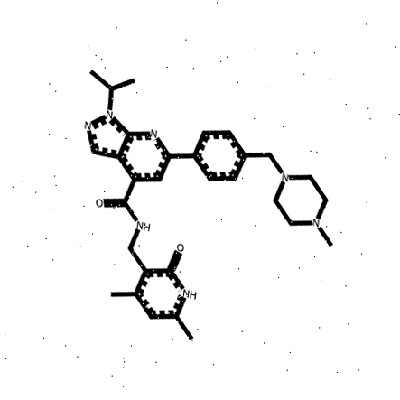 Cc1cc(C)c(CNC(=O)c2cc(-c3ccc(CN4CCN(C)CC4)cc3)nc3c2cnn3C(C)C)c(=O)[nH]1